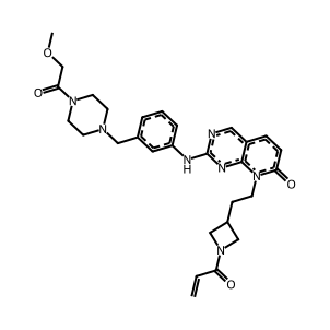 C=CC(=O)N1CC(CCn2c(=O)ccc3cnc(Nc4cccc(CN5CCN(C(=O)COC)CC5)c4)nc32)C1